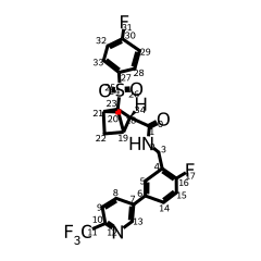 O=C(NCc1cc(-c2ccc(C(F)(F)F)nc2)ccc1F)[C@@H]1C2CC(C2)C1S(=O)(=O)c1ccc(F)cc1